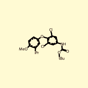 COc1ccc(Oc2c(Cl)cc(NC(=O)OC(C)(C)C)cc2Cl)cc1C(C)C